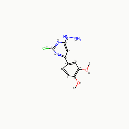 COc1ccc(-c2cc(NN)nc(Cl)n2)cc1OC